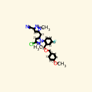 COc1ccc(CO[C@H](C)c2cc(F)ccc2-n2nc(Cl)cc2Cc2cc(C#N)nn2C)cc1